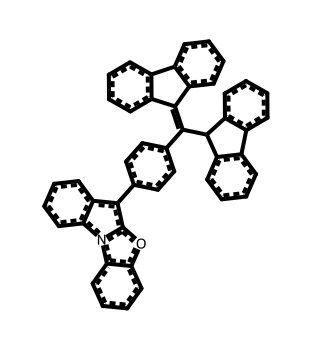 c1ccc2c(c1)C(=C(c1ccc(-c3c4ccccc4n4c3oc3ccccc34)cc1)C1c3ccccc3-c3ccccc31)c1ccccc1-2